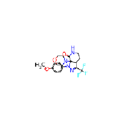 COc1ccc(N2N=C(C(F)(F)F)C3CCNC(=O)C32N2CCOCC2)cc1